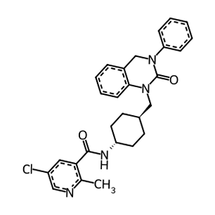 Cc1ncc(Cl)cc1C(=O)N[C@H]1CC[C@H](CN2C(=O)N(c3ccccc3)Cc3ccccc32)CC1